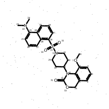 COc1cccc2c1N(C1CCN(S(=O)(=O)c3cccc4c(N(C)C)cccc34)CC1)C(=O)OC2